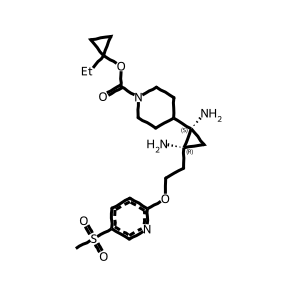 CCC1(OC(=O)N2CCC([C@@]3(N)C[C@@]3(N)CCOc3ccc(S(C)(=O)=O)cn3)CC2)CC1